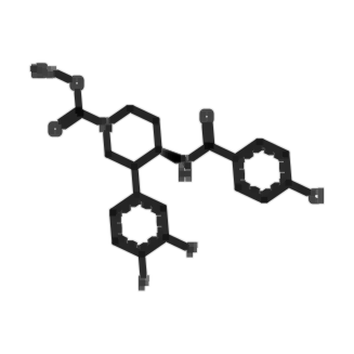 CC(C)(C)OC(=O)N1CC[C@@H](NC(=O)c2ccc(Cl)cc2)C(c2ccc(F)c(F)c2)C1